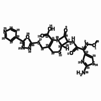 CON=C(C(=O)NC1C(=O)N2C(C(=O)O)=C(CSc3nnc(-c4ccncc4)o3)CS[C@@H]12)c1csc(N)n1